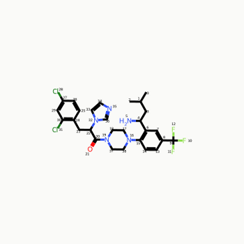 CC(C)CC(N)c1cc(C(F)(F)F)ccc1N1CCN(C(=O)C(Cc2ccc(Cl)cc2Cl)n2ccnc2)CC1